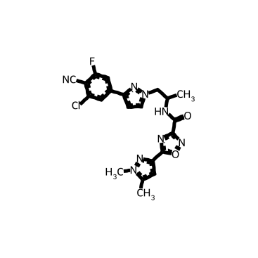 Cc1cc(-c2nc(C(=O)NC(C)Cn3ccc(-c4cc(F)c(C#N)c(Cl)c4)n3)no2)nn1C